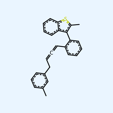 Cc1cccc(CC=C=Cc2ccccc2-c2c(C)sc3ccccc23)c1